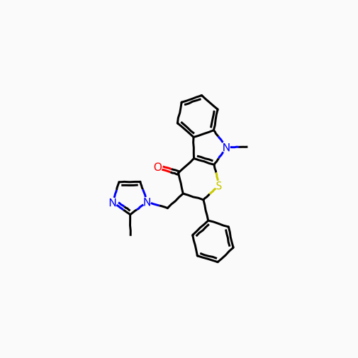 Cc1nccn1CC1C(=O)c2c(n(C)c3ccccc23)SC1c1ccccc1